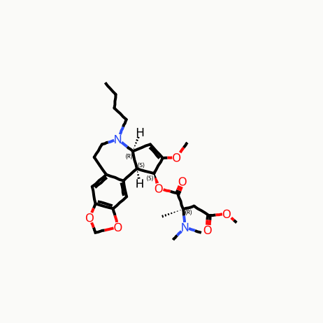 CCCCN1CCc2cc3c(cc2[C@@H]2[C@H](OC(=O)[C@@](C)(CC(=O)OC)N(C)C)C(OC)=C[C@@H]21)OCO3